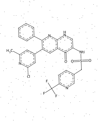 Cc1cc(-c2cc3c(=O)c(NS(=O)(=O)Cc4ccc(C(F)(F)F)nc4)c[nH]c3nc2-c2ccccc2)cc(Cl)n1